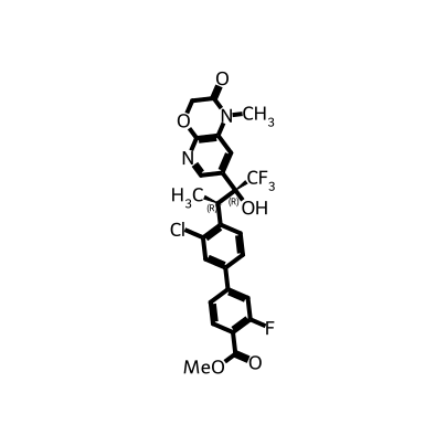 COC(=O)c1ccc(-c2ccc([C@@H](C)[C@@](O)(c3cnc4c(c3)N(C)C(=O)CO4)C(F)(F)F)c(Cl)c2)cc1F